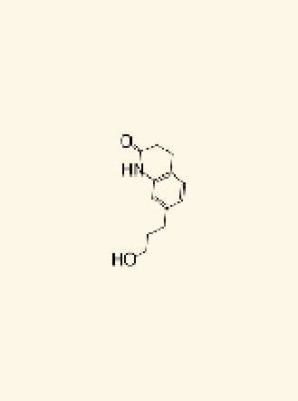 O=C1CCc2ccc(CCCO)cc2N1